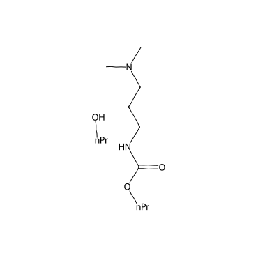 CCCO.CCCOC(=O)NCCCN(C)C